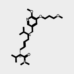 COCCCOc1cc(C[C@@H](CC=CC[C@H](C(=O)N(C)C)C(C)C)C(C)C)cnc1OC